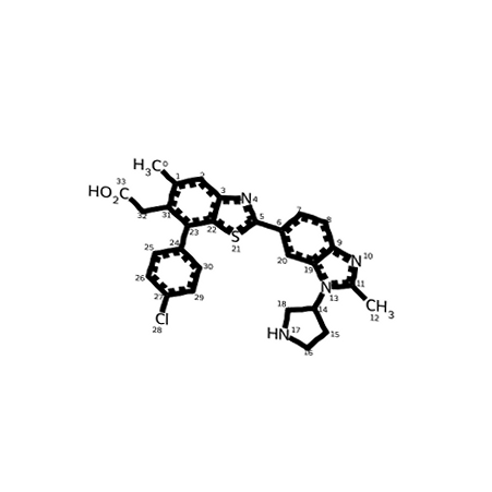 Cc1cc2nc(-c3ccc4nc(C)n(C5CCNC5)c4c3)sc2c(-c2ccc(Cl)cc2)c1CC(=O)O